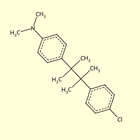 CN(C)c1ccc(C(C)(C)C(C)(C)c2ccc(Cl)cc2)cc1